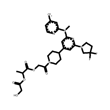 CC(OC(=O)CO)C(=O)OCC(=O)N1CCC(c2cc(N3CCC(F)(F)C3)nc(N(C)c3cc(C(F)(F)F)ccn3)c2)CC1